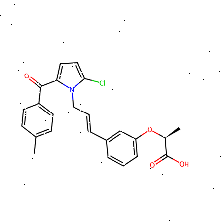 Cc1ccc(C(=O)c2ccc(Cl)n2C/C=C/c2cccc(O[C@@H](C)C(=O)O)c2)cc1